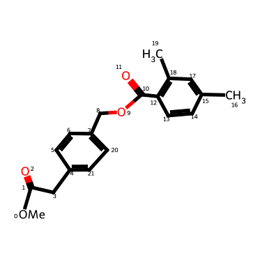 COC(=O)Cc1ccc(COC(=O)c2ccc(C)cc2C)cc1